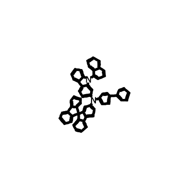 c1ccc(-c2ccc(N(c3ccc4c(c3)C3(c5ccccc5-c5ccccc53)c3ccccc3-4)c3ccc4c5ccccc5n(-c5cccc6ccccc56)c4c3)cc2)cc1